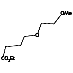 CCOC(=O)CCCOCCOC